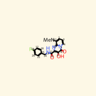 CNc1cccn2c(=O)c(O)c(C(=O)NCc3ccc(F)cc3)nc12